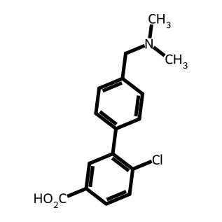 CN(C)Cc1ccc(-c2cc(C(=O)O)ccc2Cl)cc1